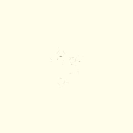 COc1cc(O)ccc1C(CCOC1c2ccccc2CC1C(=O)O)c1ccc2c(c1)OCO2